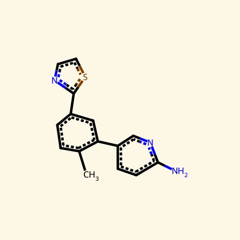 Cc1ccc(-c2nccs2)cc1-c1ccc(N)nc1